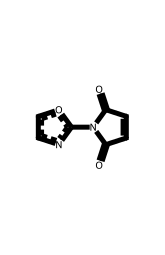 O=C1C=CC(=O)N1c1ncco1